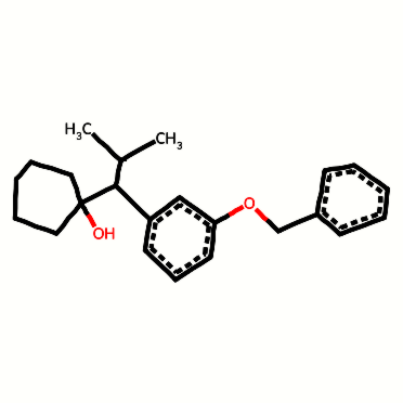 C[C](C)C(c1cccc(OCc2ccccc2)c1)C1(O)CCCCC1